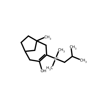 CC(C)C[N+](C)(C)C1=C(O)CC2CCC(C)(C1)C2